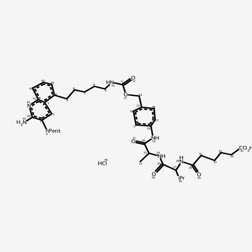 CCCCCc1cc2c(CCCCCNC(=O)OCc3ccc(NC(=O)C(C)NC(=O)C(NC(=O)CCCCC(=O)O)C(C)C)cc3)cccc2nc1N.Cl